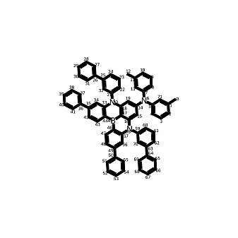 Cc1cccc(N(c2cccc(C)c2)c2cc3c4c(c2)N(c2cccc(-c5ccccc5)c2)c2cc(-c5ccccc5)ccc2B4c2ccc(-c4ccccc4)cc2N3c2cccc(-c3ccccc3)c2)c1